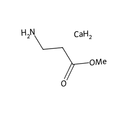 COC(=O)CCN.[CaH2]